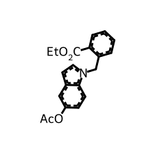 CCOC(=O)c1ccccc1Cn1ccc2cc(OC(C)=O)ccc21